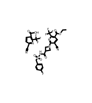 CCOC(=O)c1cc(C#N)c(N2CC(C(=O)NS(=O)(=O)Cc3ccc(F)cc3)C2)nc1C(F)(F)F.N#Cc1ccc(C(=O)O)c(C(F)(F)F)n1